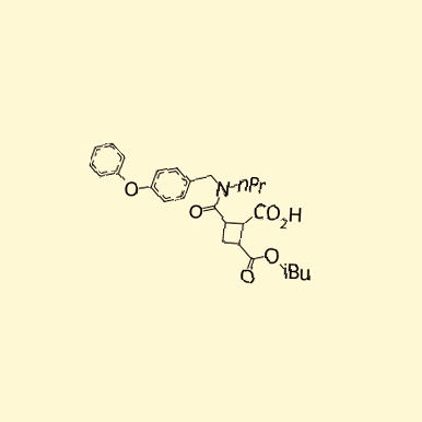 CCCN(Cc1ccc(Oc2ccccc2)cc1)C(=O)C1CC(C(=O)OC(C)CC)C1C(=O)O